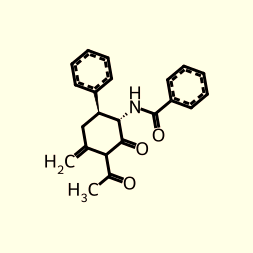 C=C1C[C@@H](c2ccccc2)[C@H](NC(=O)c2ccccc2)C(=O)C1C(C)=O